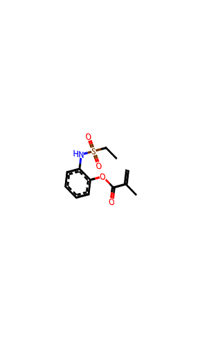 C=C(C)C(=O)Oc1ccccc1NS(=O)(=O)CC